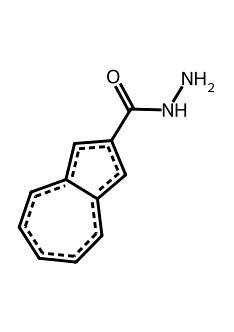 NNC(=O)c1cc2cccccc-2c1